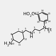 CCN(CCNCC1CCC(N)CC1)c1cccc(C(=O)O)c1